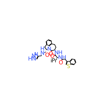 CC(C)[C@H](NC(=O)Cc1csc2ccccc12)C(=O)N[C@H]1CCc2cccc3c2N(C1=O)[C@H](C(=O)NCc1c[nH]nn1)C3